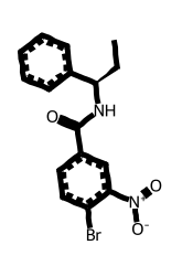 CC[C@@H](NC(=O)c1ccc(Br)c([N+](=O)[O-])c1)c1ccccc1